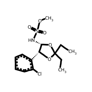 CCC1(CC)O[C@@H](NS(=O)(=O)OC)[C@@H](c2ccccc2Cl)O1